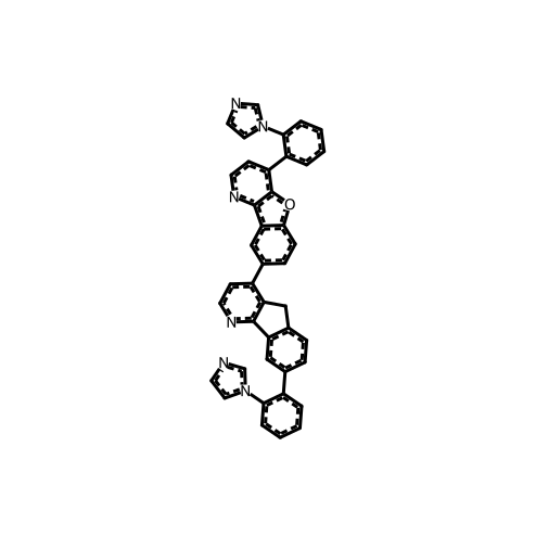 c1ccc(-n2ccnc2)c(-c2ccc3c(c2)-c2nccc(-c4ccc5oc6c(-c7ccccc7-n7ccnc7)ccnc6c5c4)c2C3)c1